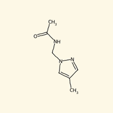 CC(=O)NCn1cc(C)cn1